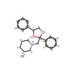 I.c1ccc(C2COC(CN3CCCCC3)(c3ccccc3)O2)cc1